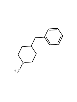 CN1CCC(Cc2c[c]ccc2)CC1